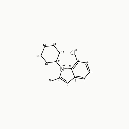 Cc1cc2cccc(Cl)c2n1C1CCCCC1